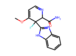 COC1=CC=NC(C(N)=O)C1(F)c1nc2ccccc2[nH]1